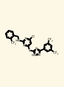 FC(F)(F)c1cc(-c2n[nH]c(Sc3cc(Cl)nc(NCc4ccccc4C(F)(F)F)n3)n2)cc(C(F)(F)F)c1